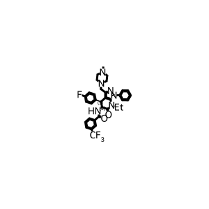 CCN1C(=O)[C@@H](NC(=O)c2cccc(C(F)(F)F)c2)[C@@H](c2ccc(F)cc2)c2c(CN3CCN(C)CC3)nn(-c3ccccc3)c21